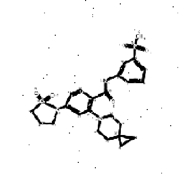 CS(=O)(=O)c1cccc(NC(=O)c2ccc(N3CCCS3(=O)=O)cc2N2CCC3(CC2)CC3)c1